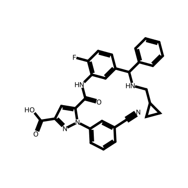 N#Cc1cccc(-n2nc(C(=O)O)cc2C(=O)Nc2cc(C(NCC3CC3)c3ccccc3)ccc2F)c1